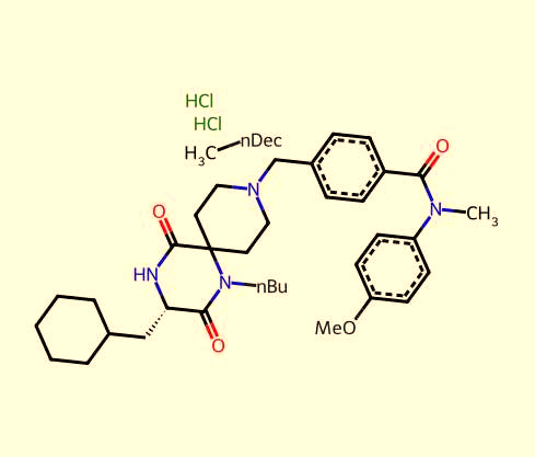 CCCCCCCCCCC.CCCCN1C(=O)[C@H](CC2CCCCC2)NC(=O)C12CCN(Cc1ccc(C(=O)N(C)c3ccc(OC)cc3)cc1)CC2.Cl.Cl